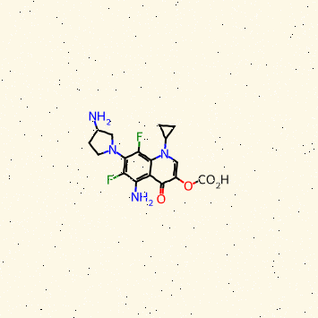 Nc1c(F)c(N2CCC(N)C2)c(F)c2c1c(=O)c(OC(=O)O)cn2C1CC1